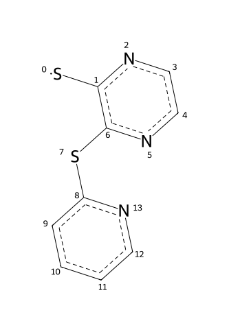 [S]c1nccnc1Sc1ccccn1